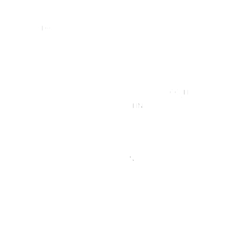 CCCCCCCCCCCCCCCCNC(Cc1c[nH]c2ccccc12)C(=O)O